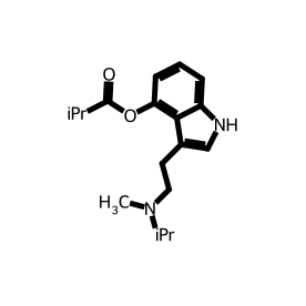 CC(C)C(=O)Oc1cccc2[nH]cc(CCN(C)C(C)C)c12